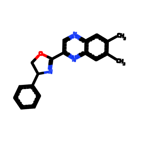 Cc1cc2ncc(C3=NC(c4ccccc4)CO3)nc2cc1C